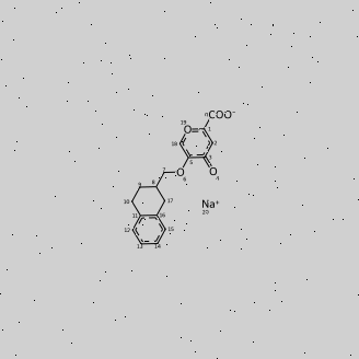 O=C([O-])c1cc(=O)c(OCC2CCc3ccccc3C2)co1.[Na+]